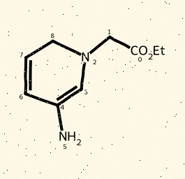 CCOC(=O)CN1C=C(N)C=CC1